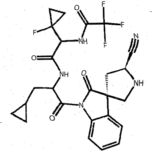 N#C[C@@H]1C[C@@]2(CN1)C(=O)N(C(=O)C(CC1CC1)NC(=O)C(NC(=O)C(F)(F)F)C1(F)CC1)c1ccccc12